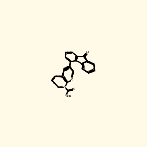 CC(C)(C)C(=O)N1CCCc2cc(-c3cccc4c3-c3ccccc3C4=O)cnc21